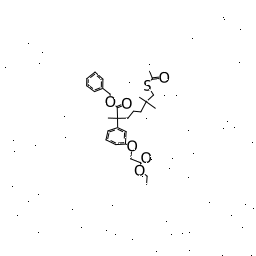 CCOC(=O)COc1cccc(C(C)(CCCC(C)(C)CSC(C)=O)C(=O)OCc2ccccc2)c1